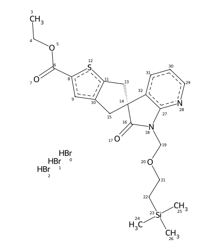 Br.Br.Br.CCOC(=O)c1cc2c(s1)C[C@@]1(C2)C(=O)N(COCC[Si](C)(C)C)c2ncccc21